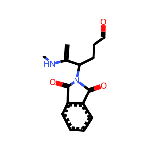 C=C(NC)C(CCC=O)N1C(=O)c2ccccc2C1=O